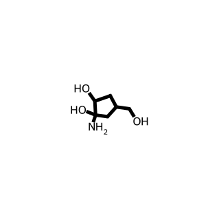 NC1(O)CC(CO)CC1O